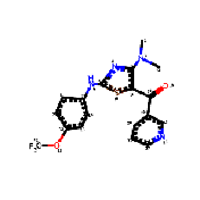 CN(C)c1nc(Nc2ccc(OC(F)(F)F)cc2)sc1C(=O)c1cccnc1